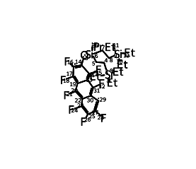 CC[Si](CC)(CC)CC[Si](CC[Si](CC)(CC)CC)(Oc1c(F)c(F)c2c(F)c3c(F)c(F)c(F)[c]c3c(F)c2c1F)C(C)C